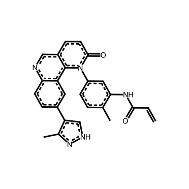 C=CC(=O)Nc1cc(-n2c(=O)ccc3cnc4ccc(-c5c[nH]nc5C)cc4c32)ccc1C